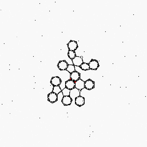 c1ccc(N(c2ccccc2-c2ccc3c(c2)C2(c4ccccc4-3)c3ccc4ccccc4c3Oc3c2ccc2ccccc32)c2cccc3c2-c2ccccc2C32c3ccccc3-c3ccccc32)cc1